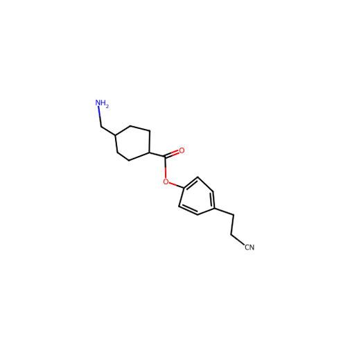 N#CCCc1ccc(OC(=O)C2CCC(CN)CC2)cc1